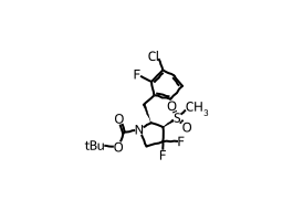 CC(C)(C)OC(=O)N1CC(F)(F)[C@H](S(C)(=O)=O)[C@@H]1Cc1cccc(Cl)c1F